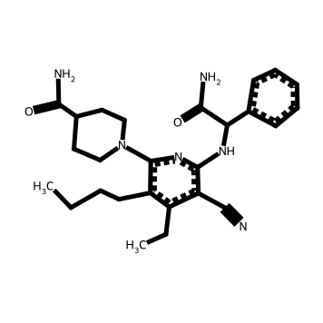 CCCCc1c(N2CCC(C(N)=O)CC2)nc(NC(C(N)=O)c2ccccc2)c(C#N)c1CC